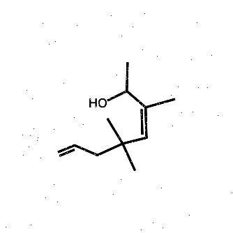 C=CCC(C)(C)C=C(C)C(C)O